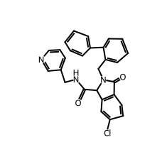 O=C(NCc1cccnc1)C1c2cc(Cl)ccc2C(=O)N1Cc1ccccc1-c1ccccc1